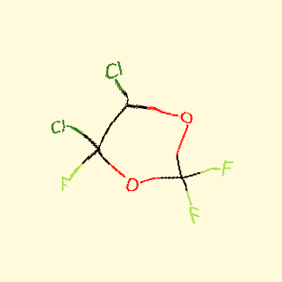 FC1(F)OC(Cl)C(F)(Cl)O1